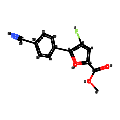 COC(=O)c1cc(F)c(-c2ccc(C#N)cc2)o1